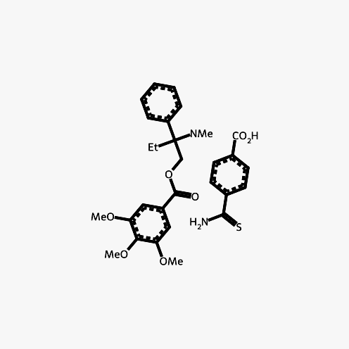 CCC(COC(=O)c1cc(OC)c(OC)c(OC)c1)(NC)c1ccccc1.NC(=S)c1ccc(C(=O)O)cc1